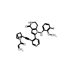 C=CC(=O)N1CC2CC1(C#Cc1cnccc1-c1cc3c(n1Nc1cccc(F)c1OC)CCNC3=O)C2